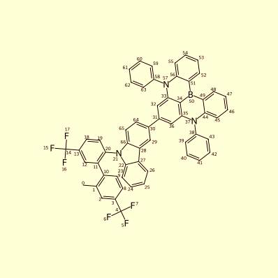 Cc1cc(C(F)(F)F)ccc1-c1cc(C(F)(F)F)ccc1-n1c2ccccc2c2cc(-c3cc4c5c(c3)N(c3ccccc3)c3ccccc3B5c3ccccc3N4c3ccccc3)ccc21